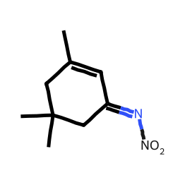 CC1=CC(=N[N+](=O)[O-])CC(C)(C)C1